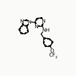 FC(F)(F)Oc1ccc(CNc2nccc(-n3cnc4ccccc43)n2)cc1